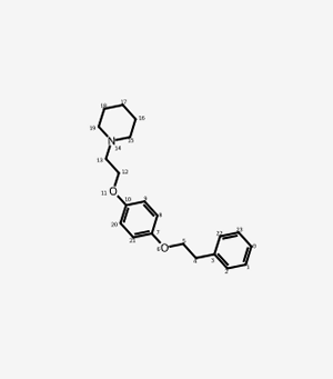 c1ccc(CCOc2ccc(OCCN3CCCCC3)cc2)cc1